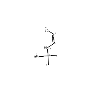 CC/C=C\NC(C)(C)CCC